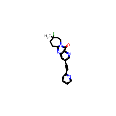 CC1(F)CCc2nc3cc(C#Cc4ccccn4)cnc3c(=O)n2CC1